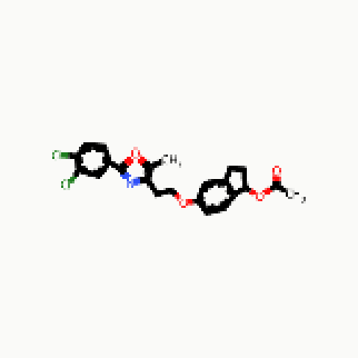 CC(=O)OC1CCc2cc(OCCc3nc(-c4ccc(Cl)c(Cl)c4)oc3C)ccc21